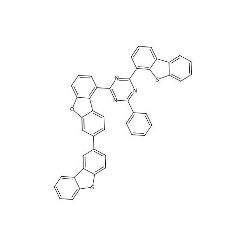 c1ccc(-c2nc(-c3cccc4c3sc3ccccc34)nc(-c3cccc4oc5cc(-c6ccc7sc8ccccc8c7c6)ccc5c34)n2)cc1